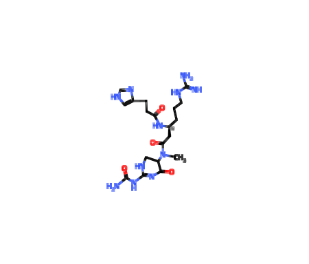 CN(C(=O)C[C@H](CCCNC(=N)N)NC(=O)CCc1c[nH]cn1)C1CNC(NC(N)=O)=NC1=O